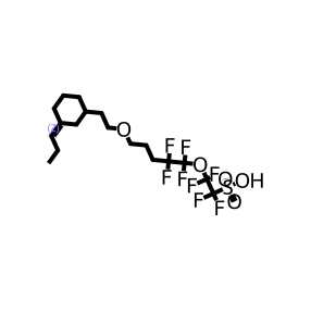 CC/C=C1/CCCC(CCOCCCC(F)(F)C(F)(F)OC(F)(F)C(F)(F)S(=O)(=O)O)C1